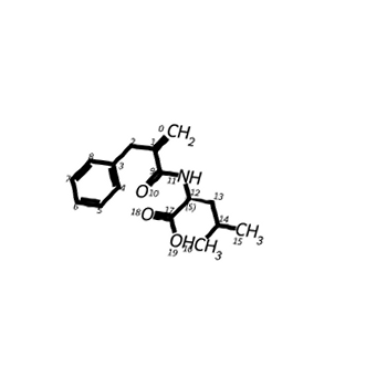 C=C(Cc1ccccc1)C(=O)N[C@@H](CC(C)C)C(=O)O